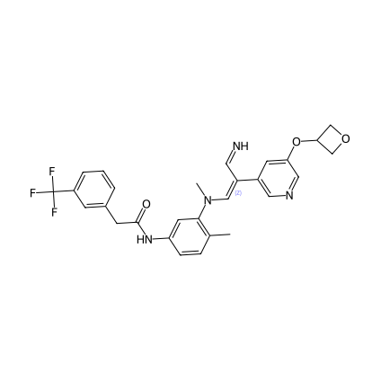 Cc1ccc(NC(=O)Cc2cccc(C(F)(F)F)c2)cc1N(C)/C=C(\C=N)c1cncc(OC2COC2)c1